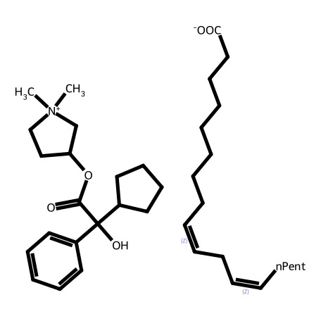 CCCCC/C=C\C/C=C\CCCCCCCC(=O)[O-].C[N+]1(C)CCC(OC(=O)C(O)(c2ccccc2)C2CCCC2)C1